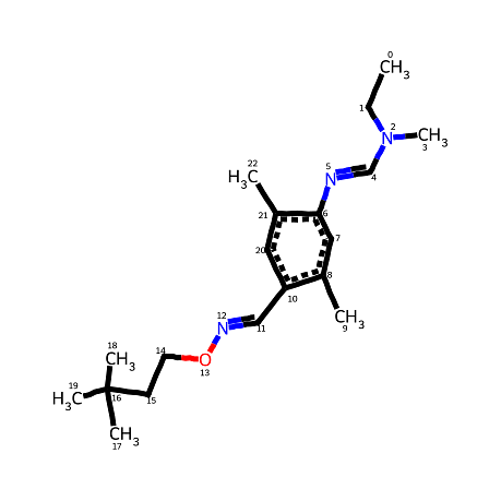 CCN(C)C=Nc1cc(C)c(C=NOCCC(C)(C)C)cc1C